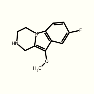 COc1c2n(c3ccc(F)cc13)CCNC2